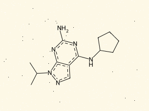 CC(C)n1ncc2c(NC3CCCC3)nc(N)nc21